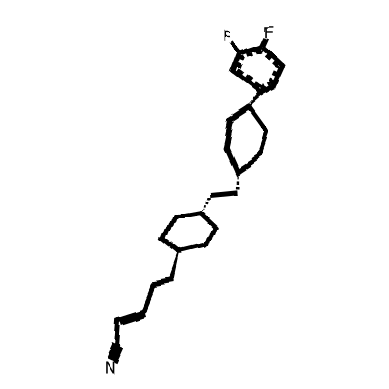 N#C/C=C/CC[C@H]1CC[C@H](CC[C@H]2CC[C@H](c3ccc(F)c(F)c3)CC2)CC1